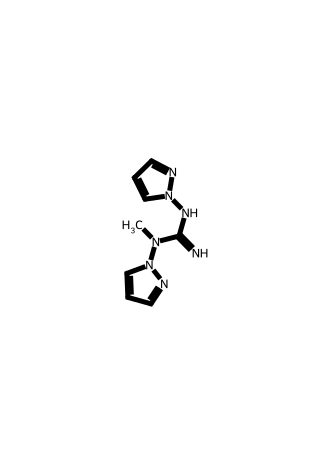 CN(C(=N)Nn1cccn1)n1cccn1